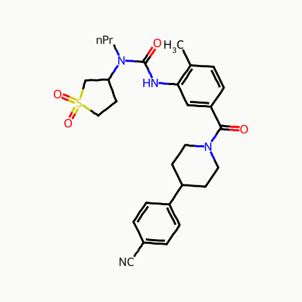 CCCN(C(=O)Nc1cc(C(=O)N2CCC(c3ccc(C#N)cc3)CC2)ccc1C)C1CCS(=O)(=O)C1